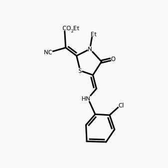 CCOC(=O)C(C#N)=c1sc(=CNc2ccccc2Cl)c(=O)n1CC